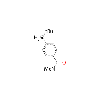 CNC(=O)c1ccc([SiH2]C(C)(C)C)cc1